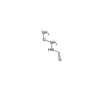 O=[C]N[SiH2]O[SiH3]